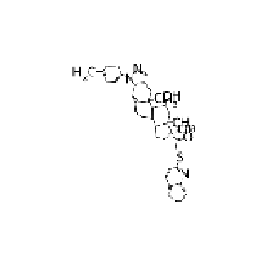 Cc1ccc(-n2ncc3c2C=C2CCC4C([C@@H](O)CC5(C)C4CC[C@]5(O)C(=O)CSc4ccc5ccccc5n4)C2(C)C3)cc1